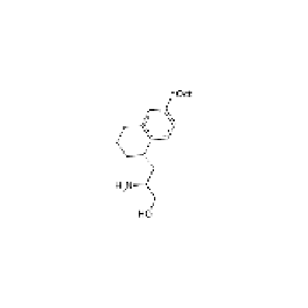 CCCCCCCCc1ccc2c(c1)CCC[C@H]2C[C@H](N)CO